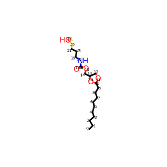 CCCCCCCCCCC1OCC(COC(=O)NCCCSO)O1